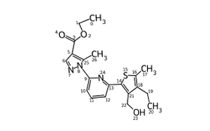 CCOC(=O)c1cnn(-c2cccc(-c3sc(C)c(CC)c3CO)n2)c1C